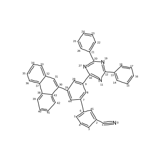 N#Cc1cccc(-c2cc(-c3nc(-c4ccccc4)nc(-c4ccccc4)n3)cc(-c3cc4ccccc4c4ccccc34)c2)c1